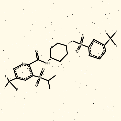 CC(C)S(=O)(=O)c1cc(C(F)(F)F)cnc1C(=O)N[C@H]1CC[C@@H](CS(=O)(=O)c2cccc(C(F)(F)F)c2)CC1